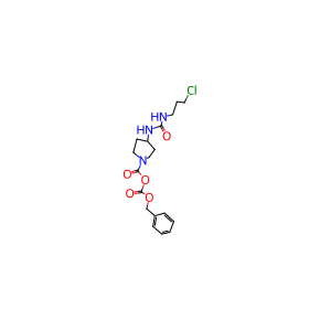 O=C(NCCCCl)NC1CCN(C(=O)OC(=O)OCc2ccccc2)CC1